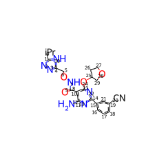 CC(C)c1nnc(CONC(=O)c2c(N)nc(-c3cccc(C#N)c3)nc2OC2CCOC2)[nH]1